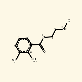 CCCc1cccc(C(=O)OCCNCC)c1N